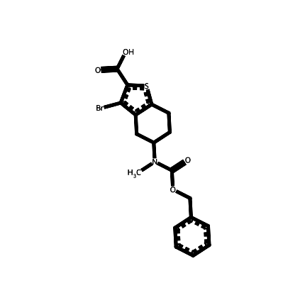 CN(C(=O)OCc1ccccc1)C1CCc2sc(C(=O)O)c(Br)c2C1